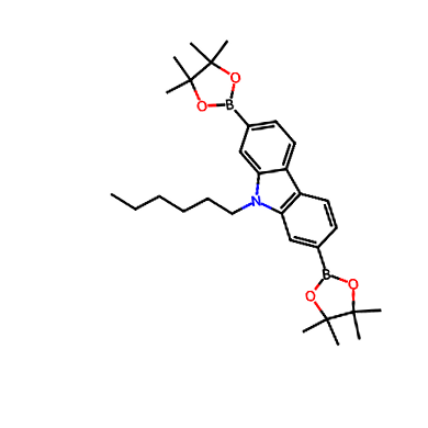 CCCCCCn1c2cc(B3OC(C)(C)C(C)(C)O3)ccc2c2ccc(B3OC(C)(C)C(C)(C)O3)cc21